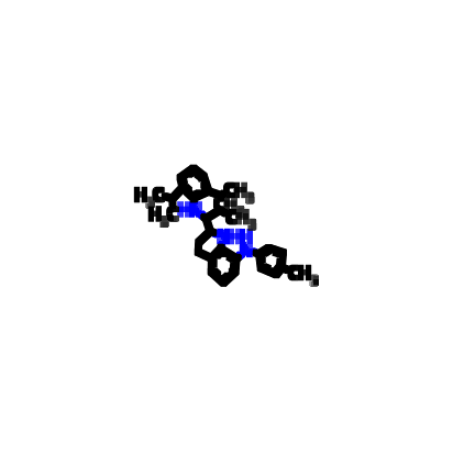 CCC(Nc1c(C(C)C)cccc1C(C)C)C1CCc2cccc(Nc3ccc(C)cc3)c2N1